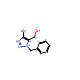 CC(=O)c1nnn(Cc2ccccc2)c1CO